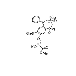 CCCC[C@]1(CC)CN(c2ccccc2)c2cc(SC)c(OC[C@@H](O)C(=O)OC)cc2S(=O)(=O)C1